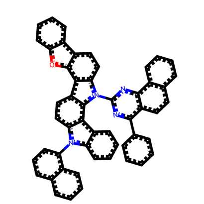 c1ccc(-c2nc(-n3c4ccc5c6ccccc6oc5c4c4ccc5c(c6ccccc6n5-c5cccc6ccccc56)c43)nc3c2ccc2ccccc23)cc1